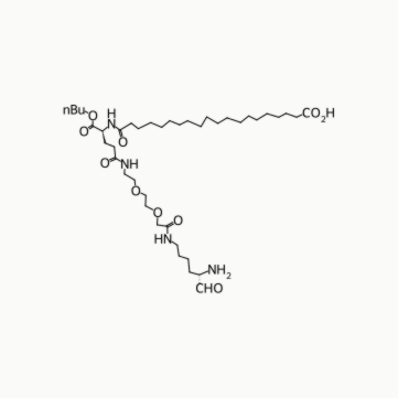 CCCCOC(=O)[C@H](CCC(=O)NCCOCCOCC(=O)NCCCC[C@H](N)C=O)NC(=O)CCCCCCCCCCCCCCCCCCC(=O)O